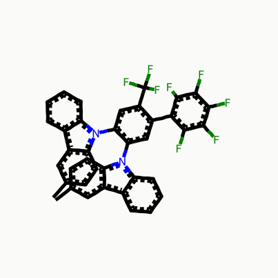 Cc1ccc2c(c1)c1ccccc1n2-c1cc(-c2c(F)c(F)c(F)c(F)c2F)c(C(F)(F)F)cc1-n1c2ccccc2c2cc(C)ccc21